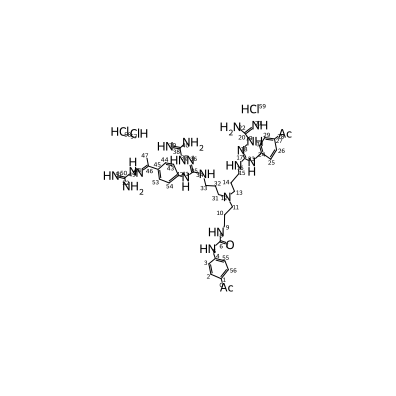 CC(=O)c1ccc(NC(=O)NCCCN(CCCNC(=NNC(=N)N)Nc2ccc(C(C)=O)cc2)CCCNC(=NNC(=N)N)Nc2ccc(C(C)=NNC(=N)N)cc2)cc1.Cl.Cl.Cl